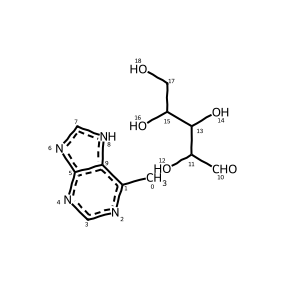 Cc1ncnc2nc[nH]c12.O=CC(O)C(O)C(O)CO